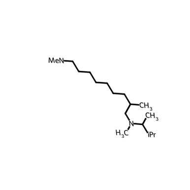 CNCCCCCCCC(C)CN(C)C(C)C(C)C